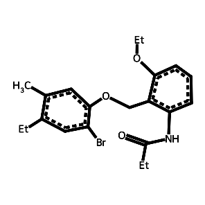 CCOc1cccc(NC(=O)CC)c1COc1cc(C)c(CC)cc1Br